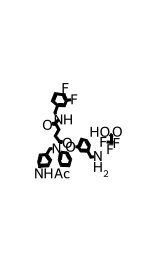 CC(=O)Nc1ccc(CN(C(=O)CCC(=O)NCc2ccc(F)c(F)c2)c2ccccc2Oc2cccc(CN)c2)cc1.O=C(O)C(F)(F)F